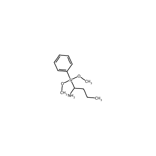 CCCC(N)[Si](OC)(OC)c1ccccc1